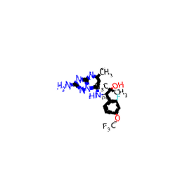 Cc1cc(N[C@@H](c2ccc(OC(F)(F)F)cc2F)C(C)(C)O)n2nc(N)nc2n1